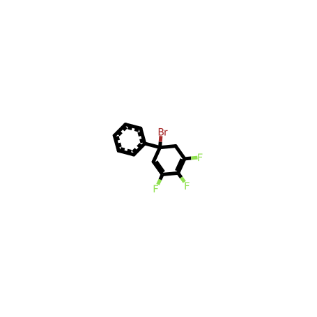 FC1=CC(Br)(c2ccccc2)CC(F)=C1F